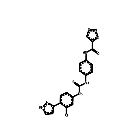 O=C(Nc1ccc(NC(=S)Nc2ccc(-c3cc[nH]n3)c(Cl)c2)cc1)c1csnn1